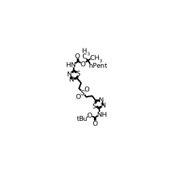 CCCCCC(C)(C)OC(=O)Nc1nnc(CCS(=O)(=O)CCc2nnc(NC(=O)OC(C)(C)C)s2)s1